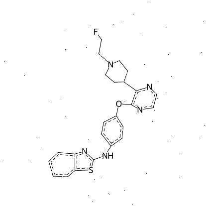 FCCN1CCC(c2nccnc2Oc2ccc(Nc3nc4ccccc4s3)cc2)CC1